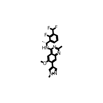 COc1cc2c(N[C@H](C)c3cccc(C(F)F)c3F)nc(C)nc2cc1-c1cnn(C)c1